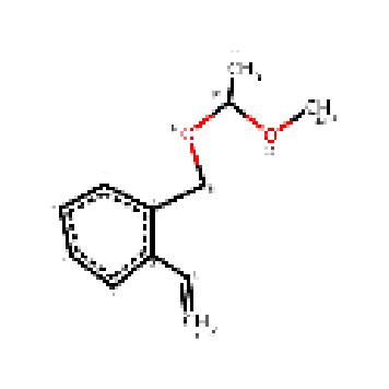 C=Cc1ccccc1COC(C)OC